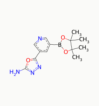 CC1(C)OB(c2cncc(-c3nnc(N)o3)c2)OC1(C)C